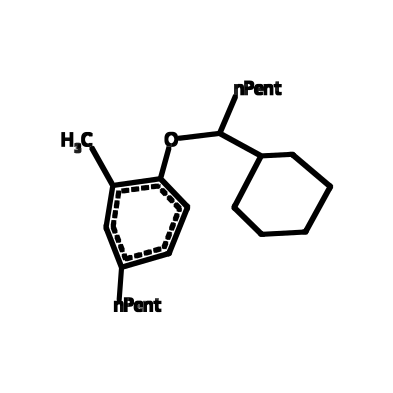 CCCCCc1ccc(OC(CCCCC)C2CCCCC2)c(C)c1